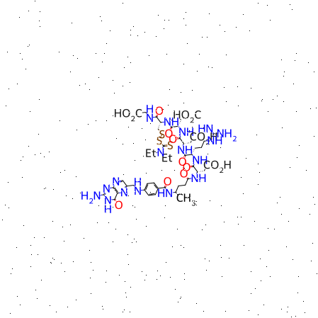 CCN(CC)C(=S)SSC[C@@H](NC(=O)[C@H](CC(=O)O)NC(=O)[C@H](CC(=O)O)NC(=O)[C@H](CCCNC(=N)N)NC(=O)[C@H](CC(=O)O)NC(=O)CC[C@@H](C)NC(=O)c1ccc(NCc2cnc3nc(N)[nH]c(=O)c3n2)cc1)C(=O)NCC(=O)O